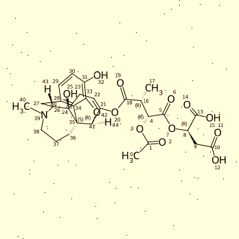 CC(=O)O[C@@H](C(=O)O[C@H](CC(=O)O)C(=O)O)[C@@H](C)C(=O)OC1=CC[C@@]2(O)[C@H]3Cc4ccc(O)c5c4[C@@]2(CCCN3C)[C@H]1O5